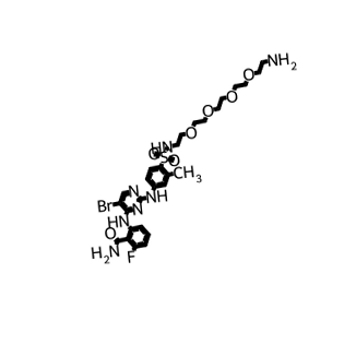 Cc1cc(Nc2ncc(Br)c(Nc3cccc(F)c3C(N)=O)n2)ccc1S(=O)(=O)NCCOCCOCCOCCOCCN